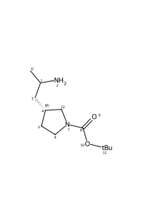 CC(N)C[C@H]1CCN(C(=O)OC(C)(C)C)C1